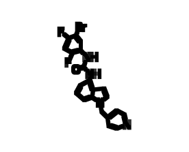 O=C(Nc1cc(Br)c(F)cc1F)Nc1cccc2c1ccn2Cc1ccncc1